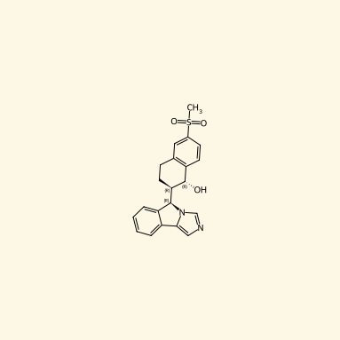 CS(=O)(=O)c1ccc2c(c1)CC[C@H]([C@@H]1c3ccccc3-c3cncn31)[C@H]2O